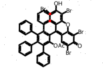 CC(=O)Oc1c(-c2ccccc2)c(-c2ccccc2)c(-c2ccccc2)c(-c2ccccc2)c1-c1c2cc(Br)c(=O)c(Br)c-2oc2c(Br)c(O)c(Br)cc12